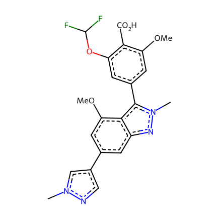 COc1cc(-c2c3c(OC)cc(-c4cnn(C)c4)cc3nn2C)cc(OC(F)F)c1C(=O)O